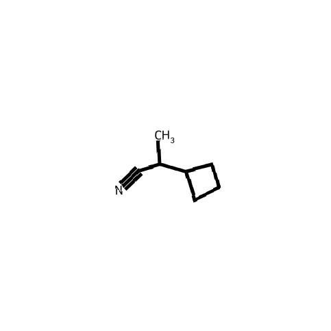 CC(C#N)C1CCC1